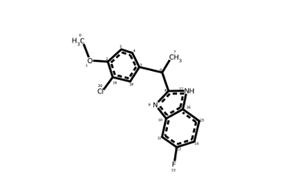 COc1ccc(C(C)c2nc3cc(F)ccc3[nH]2)cc1Cl